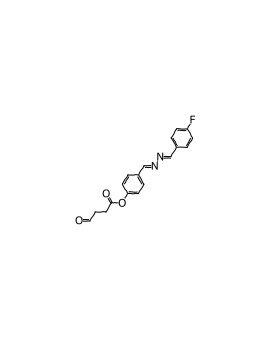 O=CCCC(=O)Oc1ccc(/C=N/N=C/c2ccc(F)cc2)cc1